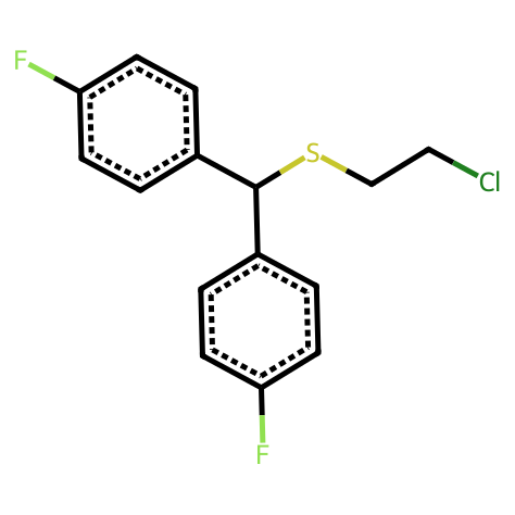 Fc1ccc(C(SCCCl)c2ccc(F)cc2)cc1